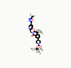 CC(C)(C)OC(=O)N1CCC(c2ccc3c(c2)C(=O)N(Cc2ccc(-c4nnc(C(F)F)o4)cn2)C(=O)C3(C)C)CC1